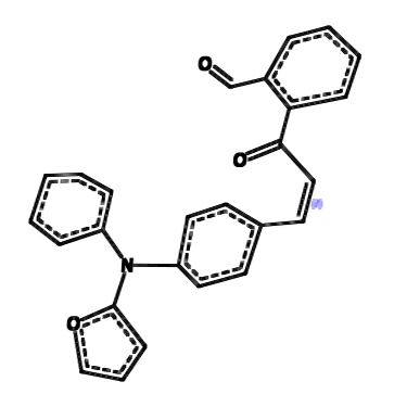 O=Cc1ccccc1C(=O)/C=C\c1ccc(N(c2ccccc2)c2ccco2)cc1